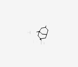 CCC1CC2CC(C)(Br)CC(C)(C1)C2